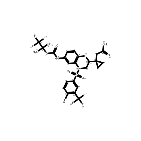 CC(C)(OC(=O)Nc1ccc2c(c1)N(S(=O)(=O)c1ccc(F)c(C(F)(F)F)c1)C[C@H](C1(CC(=O)O)CC1)O2)C(F)(F)F